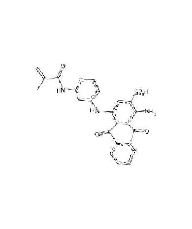 C=C(C)C(=O)Nc1cccc(Nc2cc(S(=O)(=O)O)c(N)c3c2C(=O)c2ccccc2C3=O)c1